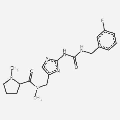 CN(Cc1csc(NC(=O)NCc2cccc(F)c2)n1)C(=O)C1CCCN1C